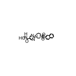 O=C(NO)c1cnc(N2CCCN(S(=O)(=O)c3ccc4ccccc4c3)CC2)nc1